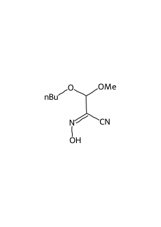 CCCCOC(OC)C(C#N)=NO